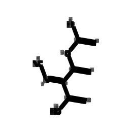 C=C(CC)OC(=C)/C(=N\C#N)C(=C)O